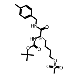 Cc1ccc(CNC(=O)[C@H](CCCCOS(C)(=O)=O)NC(=O)OC(C)(C)C)cc1